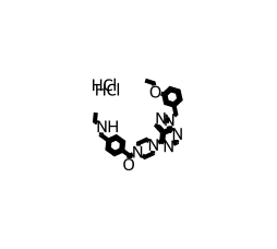 CCNCc1ccc(C(=O)N2CCN(c3ncnc4c3cnn4Cc3cccc(OCC)c3)CC2)cc1.Cl.Cl